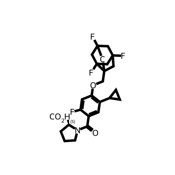 O=C(O)[C@@H]1CCCN1C(=O)c1cc(C2CC2)c(OCC23CC4(F)CC(F)(CC2(F)C4)C3)cc1F